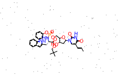 C/C=C/c1cn(C2CC(O)C(COP(=O)(N[C@@H](Cc3cc4ccccc4[nH]3)C(=O)OCC(C)(C)C)Oc3ccccc3)O2)c(=O)[nH]c1=O